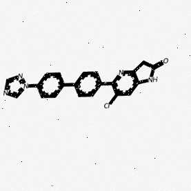 O=C1Cc2nc(-c3ccc(-c4ccc(-n5cncn5)cc4)cc3)c(Cl)cc2N1